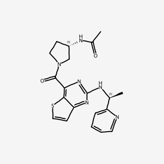 CC(=O)N[C@H]1CCN(C(=O)c2nc(N[C@@H](C)c3ccccn3)nc3ccsc23)C1